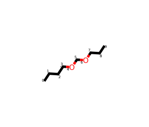 CCC[CH]OCOCCC